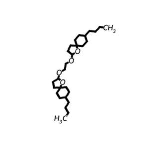 CCCCC1CCC2(CC1)CCC(OCCOC1CCC3(CCC(CCCC)CC3)O1)O2